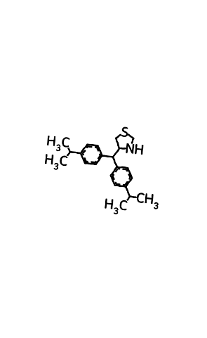 CC(C)c1ccc(C(c2ccc(C(C)C)cc2)C2CSCN2)cc1